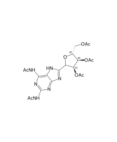 CC(=O)Nc1nc(NC(C)=O)c2[nH]c(C3O[C@H](COC(C)=O)[C@@H](OC(C)=O)[C@H]3OC(C)=O)nc2n1